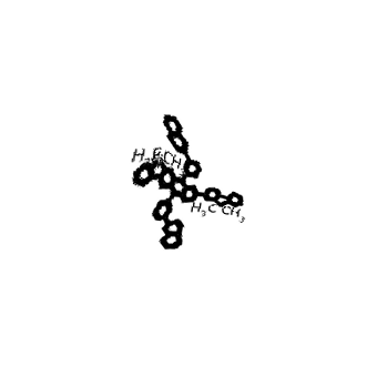 CC1(C)c2ccccc2-c2ccc(-c3ccc4c(-c5cccc(-c6ccc7c#cccc7c6)c5)c5cc6c(cc5c(-c5cccc(-c7ccc8ccccc8c7)c5)c4c3)[Si](C)(C)c3ccccc3-6)cc21